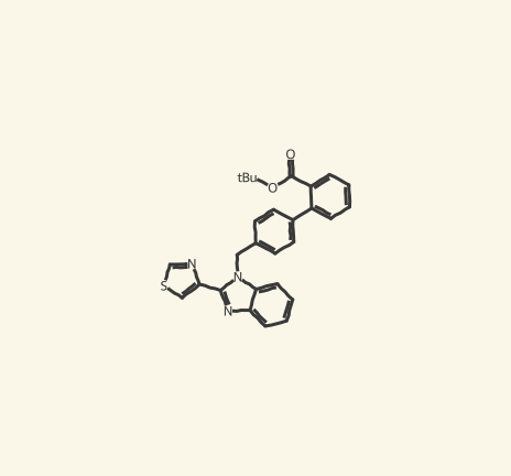 CC(C)(C)OC(=O)c1ccccc1-c1ccc(Cn2c(-c3cscn3)nc3ccccc32)cc1